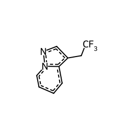 FC(F)(F)Cc1cnn2ccccc12